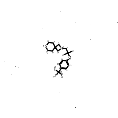 CC(C)(CN1CC2(CCSCC2)C1)Oc1ccc(C(F)(F)F)cc1